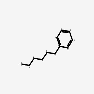 ICCCCCc1c[c]ccc1